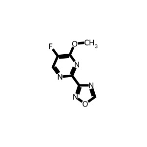 COc1nc(-c2ncon2)ncc1F